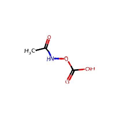 CC(=O)NOC(=O)O